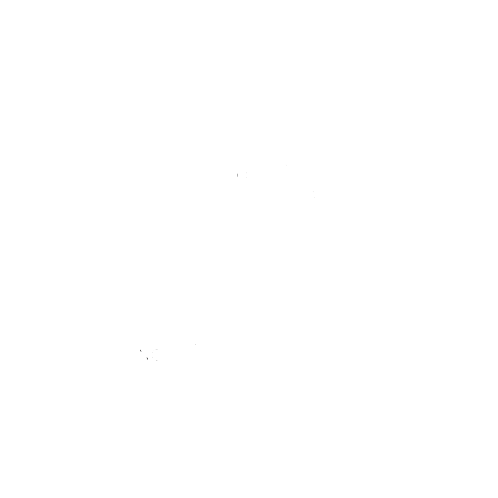 C=C(C)C(=C)Oc1ccc(C(=C)C#N)cc1